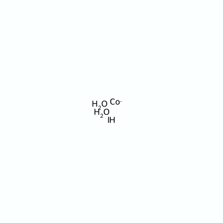 I.O.O.[Co]